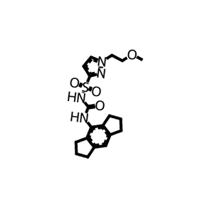 COCCn1ccc(S(=O)(=O)NC(=O)Nc2c3c(cc4c2CCC4)CCC3)n1